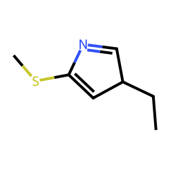 CCC1C=NC(SC)=C1